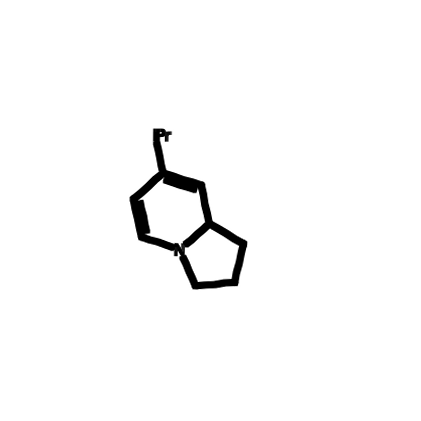 CC(C)C1=CC2CCCN2C=C1